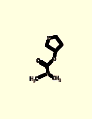 CN(C)C(=O)OC1CCOC1